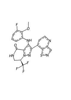 COc1c(F)cccc1Nc1c(-c2ccnc3cnsc23)nn2c1C(=O)NC[C@@H]2C(F)(F)F